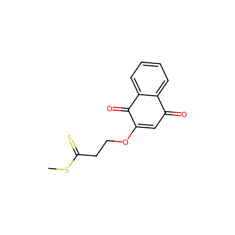 CSC(=S)CCOC1=CC(=O)c2ccccc2C1=O